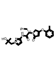 Cc1ccccc1OC1=CC(=O)N([C@@H](CC(C)C)C(=O)Nc2ccn(CC(C)(C)O)n2)C1